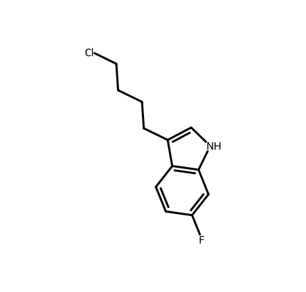 Fc1ccc2c(CCCCCl)c[nH]c2c1